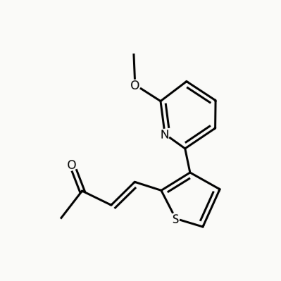 COc1cccc(-c2ccsc2C=CC(C)=O)n1